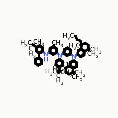 CCCCC1(C)CCC(C)(C)c2ccc(N(c3cccc(N(c4ccc(C(C)(C)C)cc4)c4cc(C)cc(Nc5ccc(C(C)(C)C)cc5-c5ccccc5)c4)c3)c3ccc4c(c3)C(C)(C)CCC4(C)C)cc21